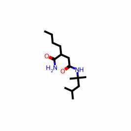 CCCCC(CC(=O)NC(C)(C)CC(C)C)C(N)=O